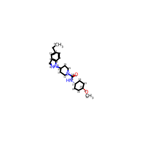 CCc1ccc2c(cnn2C2CCN(C(=O)N[C@H]3CC[C@H](OC)CC3)CC2)c1